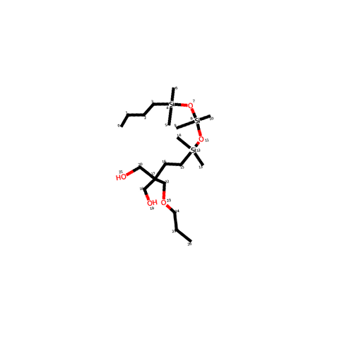 CCCC[Si](C)(C)O[Si](C)(C)O[Si](C)(C)CCC(CO)(CO)COCCC